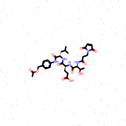 CC(=O)OCc1ccc(NC(=O)[C@H](CC(C)C)NC(=O)[C@H](CCC(=O)O)NC(=O)[C@@H](NC(=O)CCN2C(=O)C=CC2=O)C(C)O)cc1